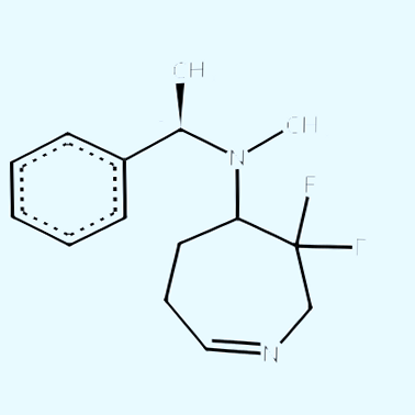 C[C@H](c1ccccc1)N(C)C1CCC=NCC1(F)F